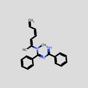 C=C/C=C\C=C(\C#N)N(C)/C(=N\C(=N)c1ccccc1)c1ccccc1